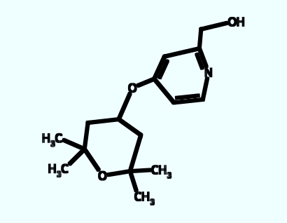 CC1(C)CC(Oc2ccnc(CO)c2)CC(C)(C)O1